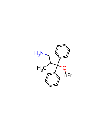 CCCOC(c1ccccc1)(c1ccccc1)C(C)CN